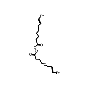 CCC=CCCCCCC(=O)OOC(=O)CCCCCC=CCC